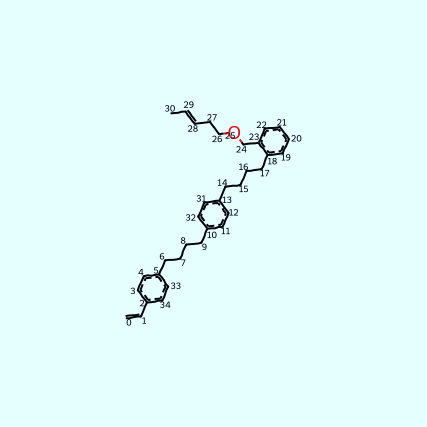 C=Cc1ccc(CCCCc2ccc(CCCCc3ccccc3COCCC=CC)cc2)cc1